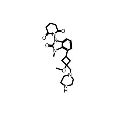 COC1(CN2CCNCC2)CC(c2cccc3c2n(C)c(=O)n3N2C(=O)CCCC2=O)C1